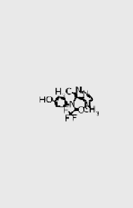 Cc1nn2ccn(C)c2c1N(C(=O)C(F)(F)F)c1ccc(O)cc1